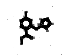 COC(=O)c1ccc(C)cc1Cn1cccn1